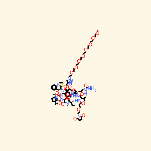 CC[C@H](C)[C@@H]([C@@H](CC(=O)N1CCC[C@H]1[C@H](OC)[C@@H](C)C(=O)N[C@@H](Cc1ccccc1)c1nccs1)OC)N(C)C(=O)[C@@H](NC(=O)[C@@H]1[C@H]2CC[C@H](C2)N1C(=O)OCc1ccc(NC(=O)[C@H](CCCNC(N)=O)NC(=O)[C@@H](NC(=O)CCOCCN2C(=O)C=CC2=O)C(C)C)cc1COCc1cn(CCOCCOCCOCCOCCOCCOCCOCCOC)nn1)C(C)C